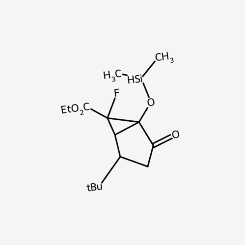 CCOC(=O)C1(F)C2C(C(C)(C)C)CC(=O)C21O[SiH](C)C